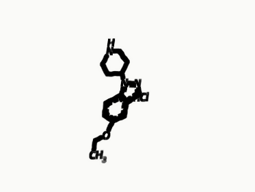 CCOc1ccc2c(cnn2C2CCNCC2)c1.Cl